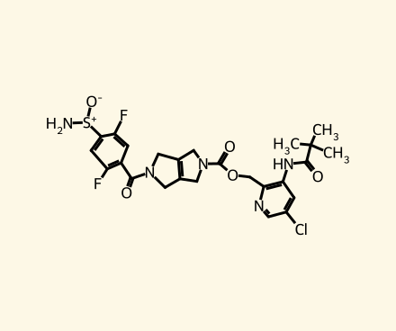 CC(C)(C)C(=O)Nc1cc(Cl)cnc1COC(=O)N1CC2=C(C1)CN(C(=O)c1cc(F)c([S+](N)[O-])cc1F)C2